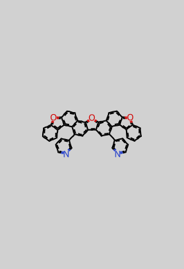 c1cncc(-c2cc3c4cc(-c5cccnc5)c5c(ccc6oc7ccccc7c65)c4oc3c3ccc4oc5ccccc5c4c23)c1